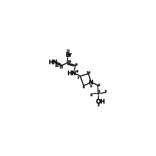 CC(C)(O)CN1CC(N/C=C(/Br)C=N)C1